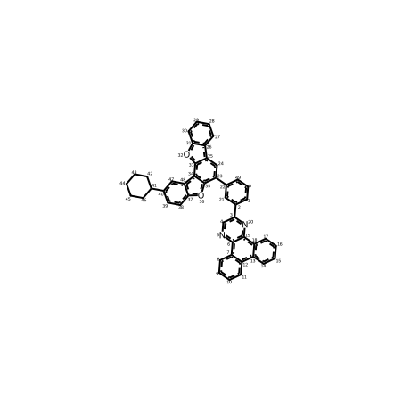 c1cc(-c2cnc3c4ccccc4c4ccccc4c3n2)cc(-c2cc3c4ccccc4oc3c3c2oc2ccc(C4CCCCC4)cc23)c1